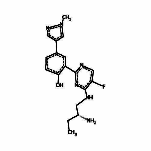 CC[C@@H](N)CNc1nc(-c2cc(-c3cnn(C)c3)ccc2O)ncc1F